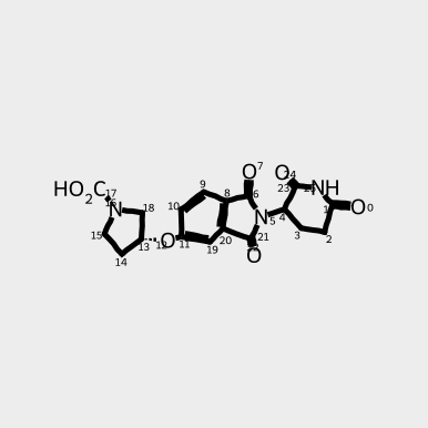 O=C1CCC(N2C(=O)c3ccc(O[C@@H]4CCN(C(=O)O)C4)cc3C2=O)C(=O)N1